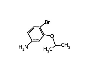 CC(C)Oc1cc(N)ccc1Br